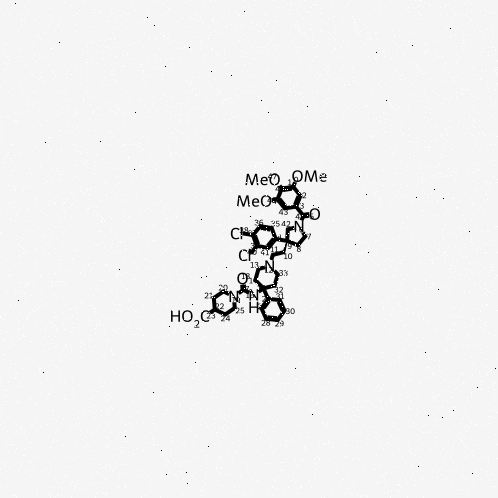 COc1cc(C(=O)N2CC[C@](CCN3CCC(NC(=O)N4CCC(C(=O)O)CC4)(c4ccccc4)CC3)(c3ccc(Cl)c(Cl)c3)C2)cc(OC)c1OC